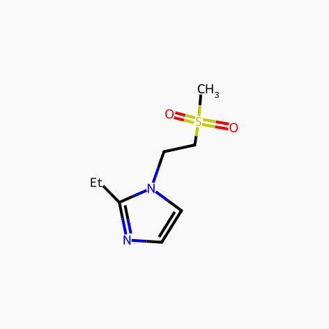 CCc1nccn1CCS(C)(=O)=O